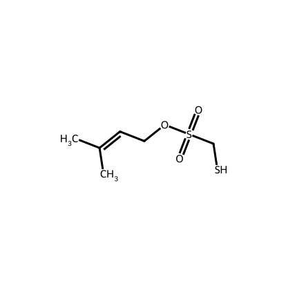 CC(C)=CCOS(=O)(=O)CS